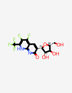 O=c1nc2[nH]c(C(F)(F)F)c(F)c(F)c-2cc1[C@@H]1O[C@H](CO)C(O)[C@@H]1O